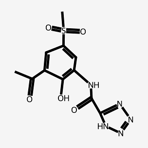 CC(=O)c1cc(S(C)(=O)=O)cc(NC(=O)c2nnn[nH]2)c1O